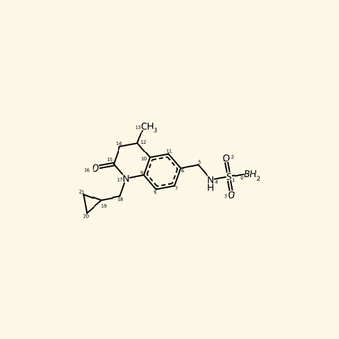 BS(=O)(=O)NCc1ccc2c(c1)C(C)CC(=O)N2CC1CC1